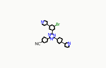 N#Cc1ccc(-c2nc(-c3ccc(-c4cccnc4)cc3)nc(-c3cc(Br)cc(-c4ccncc4)c3)n2)cc1